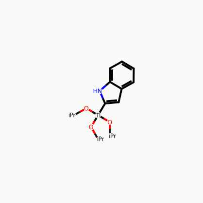 CC(C)[O][Ti]([O]C(C)C)([O]C(C)C)[c]1cc2ccccc2[nH]1